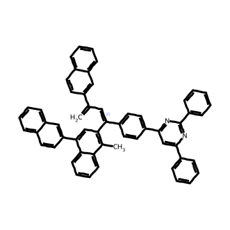 C=C(/C=C(/c1ccc(-c2cc(-c3ccccc3)nc(-c3ccccc3)n2)cc1)c1cc(-c2ccc3ccccc3c2)c2ccccc2c1C)c1ccc2ccccc2c1